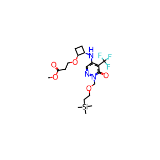 COC(=O)CCO[C@H]1CC[C@H]1Nc1cnn(COCC[Si](C)(C)C)c(=O)c1C(F)(F)F